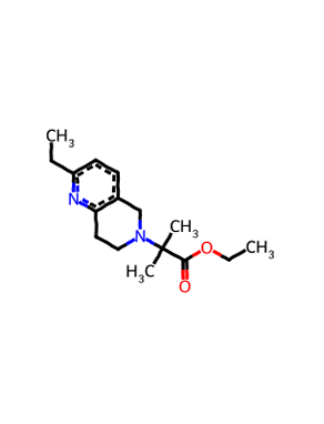 CCOC(=O)C(C)(C)N1CCc2nc(CC)ccc2C1